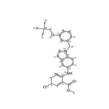 COC(=O)C1=CC(Cl)CN=C1Nc1ccc2c(ccn2Cc2cccc(OCC(F)(F)F)c2)c1